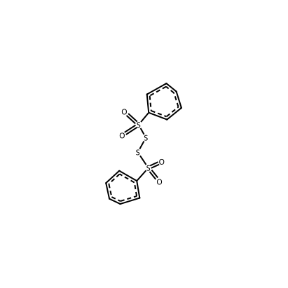 O=S(=O)(SSS(=O)(=O)c1ccccc1)c1ccccc1